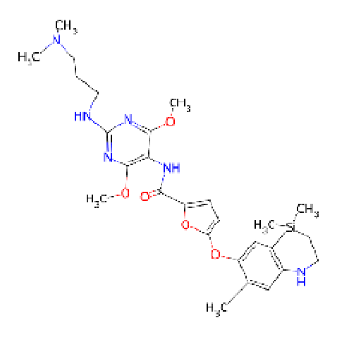 COc1nc(NCCCN(C)C)nc(OC)c1NC(=O)c1ccc(Oc2cc3c(cc2C)NCC[Si]3(C)C)o1